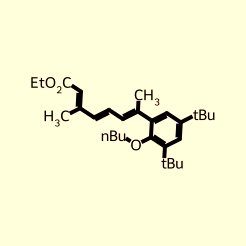 CCCCOc1c(C(C)=CC=CC(C)=CC(=O)OCC)cc(C(C)(C)C)cc1C(C)(C)C